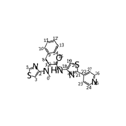 CN(c1cscn1)[C@@H](Cc1ccccc1)C(=O)Nc1csc(-c2ccncc2)n1